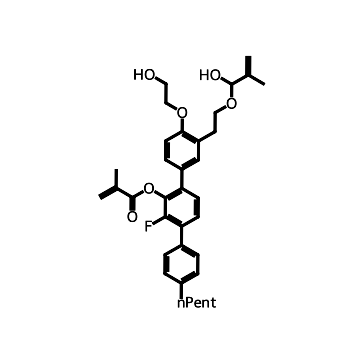 C=C(C)C(=O)Oc1c(-c2ccc(OCCO)c(CCOC(O)C(=C)C)c2)ccc(-c2ccc(CCCCC)cc2)c1F